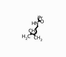 C=C(C)C(=C)CCCNC(=O)C(C)C